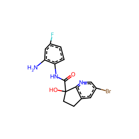 Nc1cc(F)ccc1NC(=O)C1(O)CCc2cc(Br)cnc21